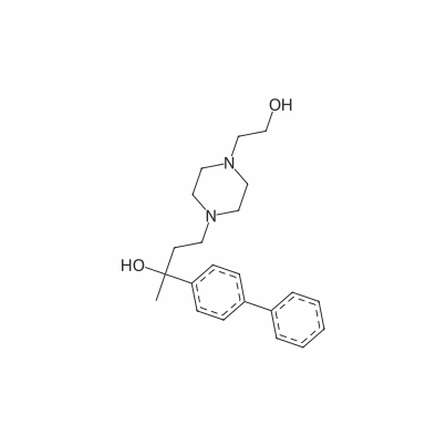 CC(O)(CCN1CCN(CCO)CC1)c1ccc(-c2ccccc2)cc1